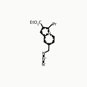 CCOC(=O)c1cc2cc(CN=[N+]=[N-])ccn2c1C(C)C